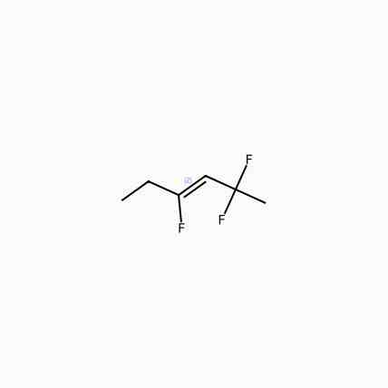 CC/C(F)=C/C(C)(F)F